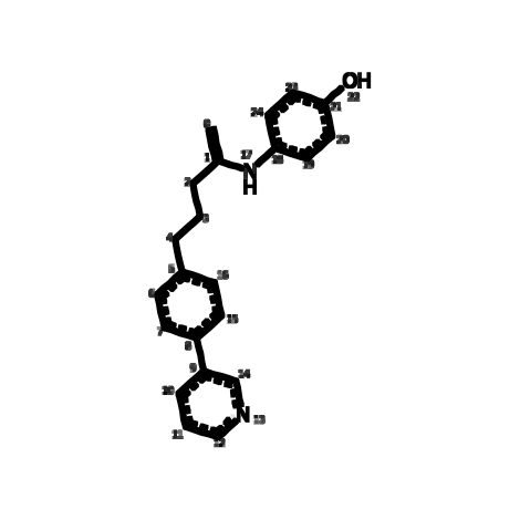 C=C(CCCc1ccc(-c2cccnc2)cc1)Nc1ccc(O)cc1